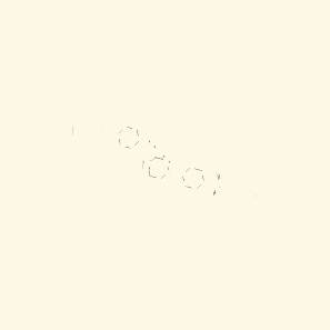 O=C(O)c1ccc(Nc2nccc(-c3ccc(S(=O)(=O)C4CCOCC4)cc3)n2)cc1